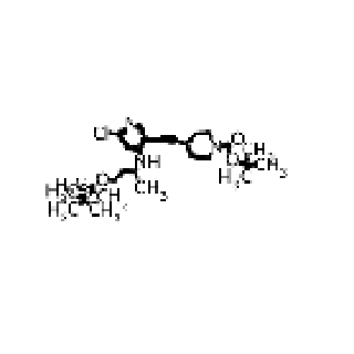 C[C@@H](CCO[Si](C)(C)C(C)(C)C)Nc1cc(Cl)ncc1C#CC1CCN(C(=O)OC(C)(C)C)CC1